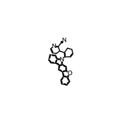 N#CC1=NC=CCC1C1=C(n2c3ccccc3c3cc4c(cc32)oc2ccccc24)C=CCC1